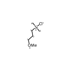 COCCC[Si](C)(C)Cl